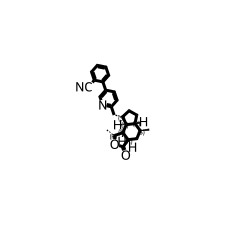 C[C@H]1C[C@H]2C(=O)O[C@H](C)[C@H]2[C@H]2[C@H](Cc3ccc(-c4ccccc4C#N)cn3)CC[C@@H]21